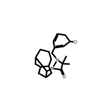 CC1(C)C(=O)N(C2C3CCCC4CC2CC4C3)N1CC1=CC(Cl)CC=C1